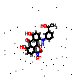 CC(O)c1cccc(Nc2ccc(O)c3c2C(=O)c2c([N+](=O)[O-])ccc(O)c2C3=O)c1